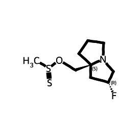 CS(=S)OC[C@@]12CCCN1C[C@H](F)C2